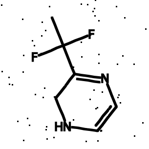 CC(F)(F)C1=NC=[C]NC1